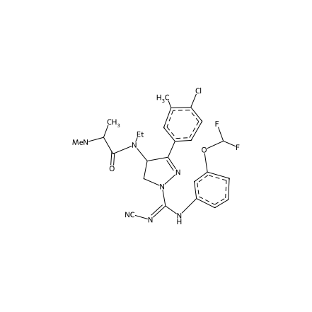 CCN(C(=O)C(C)NC)C1CN(C(=NC#N)Nc2cccc(OC(F)F)c2)N=C1c1ccc(Cl)c(C)c1